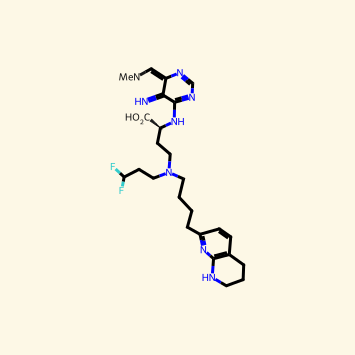 CN/C=C1/N=CN=C(N[C@@H](CCN(CCCCc2ccc3c(n2)NCCC3)CCC(F)F)C(=O)O)C1=N